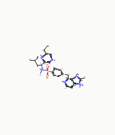 CCc1cncc(C(CC(C)C)N(C)S(=O)(=O)c2ccc(Cc3nccc4[nH]c(C)nc34)cc2)n1